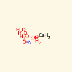 O.O.O.O.O=NO.[CaH2]